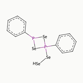 [SeH][Se][P]1(c2ccccc2)[Se]P(c2ccccc2)[Se]1